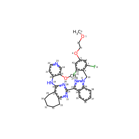 COCCOc1cc(F)c(Cn2nc(-c3nc4c(c(Nc5ccncc5OC)n3)CCCCC4)c3ccccc32)c(F)c1